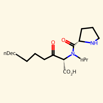 CCCCCCCCCCCCCC(=O)[C@@H](C(=O)O)N(CCC)C(=O)[C@@H]1CCCN1